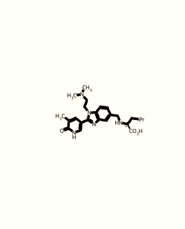 Cc1cc(-c2nc3cc(CN[C@@H](CC(C)C)C(=O)O)ccc3n2CCN(C)C)c[nH]c1=O